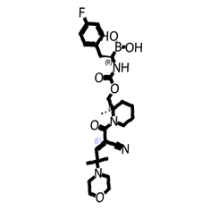 CC(C)(/C=C(\C#N)C(=O)N1CCCC[C@]1(C)COC(=O)N[C@@H](Cc1ccc(F)cc1)B(O)O)N1CCOCC1